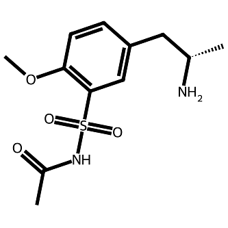 COc1ccc(C[C@H](C)N)cc1S(=O)(=O)NC(C)=O